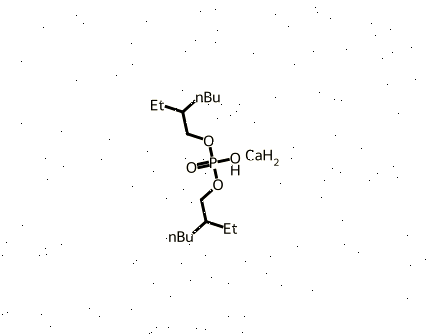 CCCCC(CC)COP(=O)(O)OCC(CC)CCCC.[CaH2]